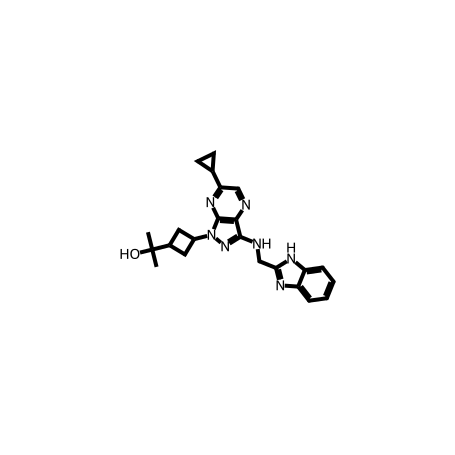 CC(C)(O)C1CC(n2nc(NCc3nc4ccccc4[nH]3)c3ncc(C4CC4)nc32)C1